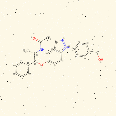 C[C@H](NC(=O)C(F)(F)F)[C@H](Oc1ccc2c(cnn2-c2ccc(CO)cc2)c1)c1ccccc1